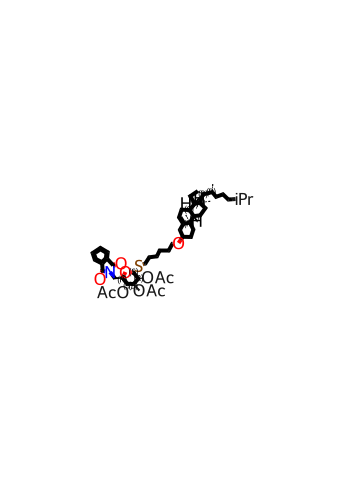 CC(=O)O[C@H]1[C@@H](OC(C)=O)[C@@H](CN2C(=O)c3ccccc3C2=O)O[C@@H](SCCCCCCOC2CC[C@@]3(C)C(=CC[C@H]4[C@@H]5CC[C@H]([C@H](C)CCCC(C)C)[C@@]5(C)CC[C@@H]43)C2)[C@@H]1OC(C)=O